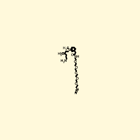 C[SiH](CCCN)CC[SiH](C)c1cccc(CC(=O)NCCOCCOCCOCCOCCOCCN=[N+]=[N-])c1